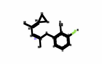 CCc1c(F)cccc1C/C(C)=C\C(C)=C1CC1